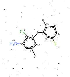 Cc1cc(N)c(Cl)c(Cc2cc(F)ccc2C)c1